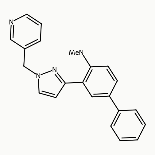 CNc1ccc(-c2ccccc2)cc1-c1ccn(Cc2cccnc2)n1